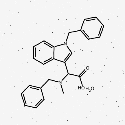 CN(Cc1ccccc1)C(C(=O)O)c1cn(Cc2ccccc2)c2ccccc12.O